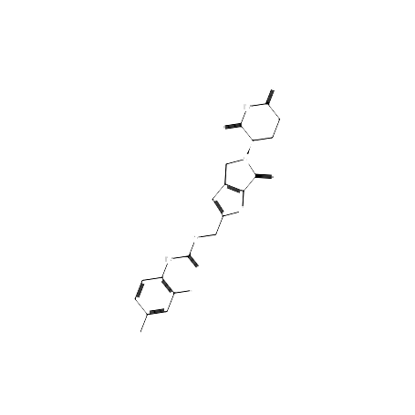 Cc1ccc(NC(=O)NCc2cc3c(s2)C(=O)N([C@@H]2CCC(=O)NC2=O)C3)c(Cl)c1